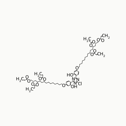 C=CC(=O)OCCCC(CCC(CCCCCCCCOc1ccc(-c2nc(Cl)nc(-c3ccc(OCCCCCCCCC(CCC(CCCOC(=O)C=C)OC(=O)C=C)OC(=O)C=C)cc3O)n2)c(O)c1)OC(=O)C=C)OC(=O)C=C